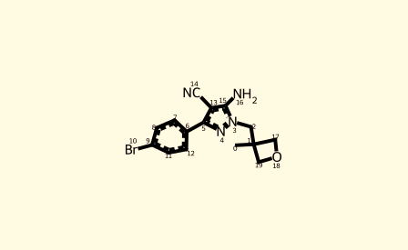 CC1(Cn2nc(-c3ccc(Br)cc3)c(C#N)c2N)COC1